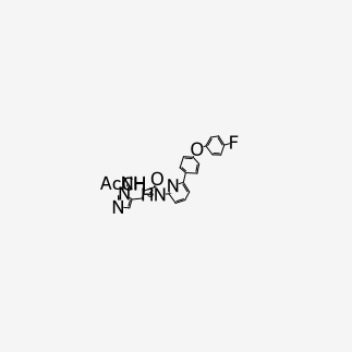 CC(=O)NC(Cc1cncn1C)C(=O)Nc1cccc(-c2ccc(Oc3ccc(F)cc3)cc2)n1